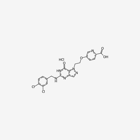 Cl.O=C(O)c1ccc(OCCn2ncc3nc(NCc4ccc(Cl)c(Cl)c4)[nH]c(=O)c32)cn1